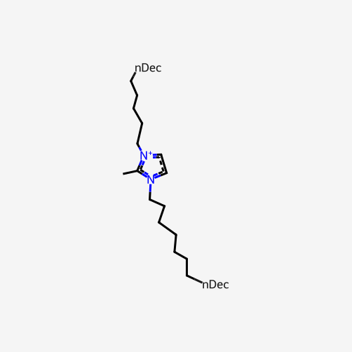 CCCCCCCCCCCCCCCCCn1cc[n+](CCCCCCCCCCCCCCC)c1C